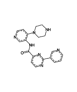 O=C(Nc1cnccc1N1CCNCC1)c1ccnc(-c2cccnc2)n1